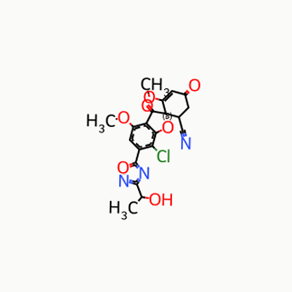 COC1=CC(=O)CC(C#N)[C@]12Oc1c(Cl)c(-c3nc(C(C)O)no3)cc(OC)c1C2=O